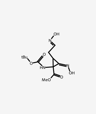 COC(=O)C1(NC(=O)OC(C)(C)C)C(=NO)C1CC=NO